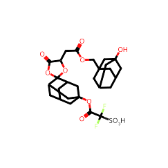 O=C(CC1OC2(OC1=O)C1CC3CC2CC(OC(=O)C(F)(F)S(=O)(=O)O)(C3)C1)OCC12CC3CC(CC(O)(C3)C1)C2